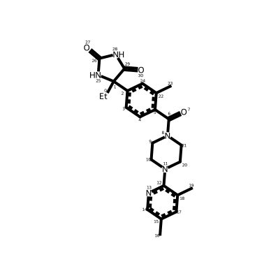 CCC1(c2ccc(C(=O)N3CCN(c4ncc(C)cc4C)CC3)c(C)c2)NC(=O)NC1=O